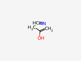 C#N.C=C(C)O